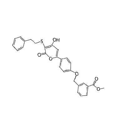 COC(=O)c1cccc(COc2ccc(-c3cc(O)c(SCCc4ccccc4)c(=O)o3)cc2)c1